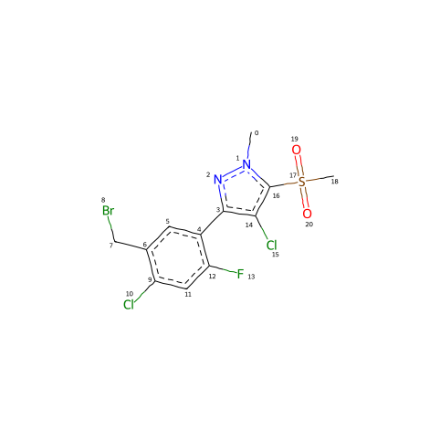 Cn1nc(-c2cc(CBr)c(Cl)cc2F)c(Cl)c1S(C)(=O)=O